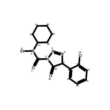 CCN(C(=O)N1N=NC(c2ccccc2Cl)C1=O)C1CCCCC1